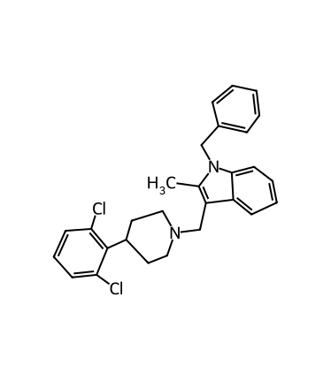 Cc1c(CN2CCC(c3c(Cl)cccc3Cl)CC2)c2ccccc2n1Cc1ccccc1